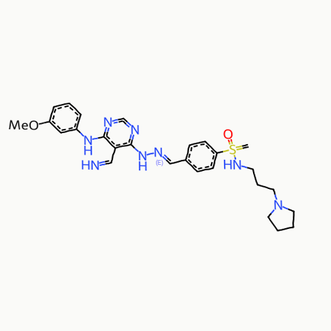 C=S(=O)(NCCCN1CCCC1)c1ccc(/C=N/Nc2ncnc(Nc3cccc(OC)c3)c2C=N)cc1